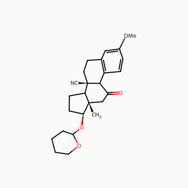 COc1ccc2c(c1)CC[C@]1(C#N)C2C(=O)C[C@@]2(C)C1CC[C@@H]2OC1CCCCO1